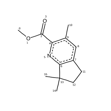 COC(=O)c1nc2c(cc1C)CCC2(C)C